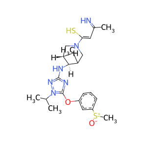 CC(=N)/C=C(\S)N1CC2[C@@H](Nc3nc(Oc4cccc([S+](C)[O-])c4)n(C(C)C)n3)[C@H](C1)[C@H]2C